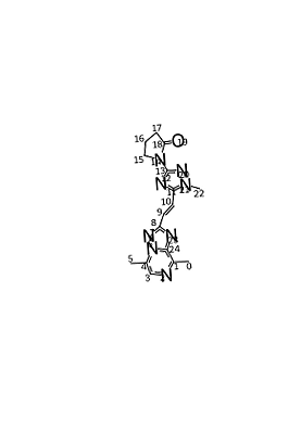 Cc1ncc(C)n2nc(/C=C/c3nc(N4CCCC4=O)nn3C)nc12